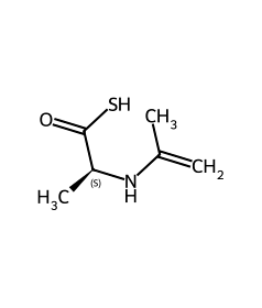 C=C(C)N[C@@H](C)C(=O)S